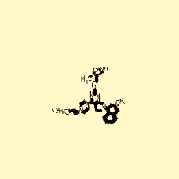 CN(C)[C@@H](CO)COc1nc2c(c(N3CCN(C=CC=O)CC3)n1)CCN(c1cc(O)cc3ccccc13)C2